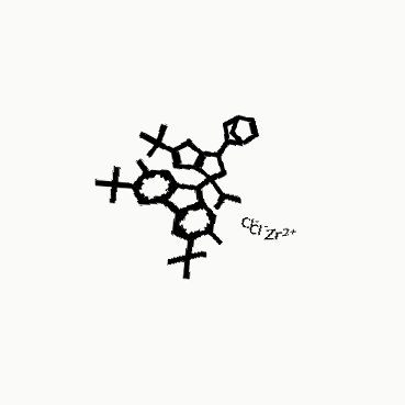 Cc1cc2c(cc1C(C)(C)C)-c1cc(C(C)(C)C)c(C)cc1C2C1(C(C)C)CC(C2CC3C=CC2C3)C2=C1C=C(C(C)(C)C)C2.[Cl-].[Cl-].[Zr+2]